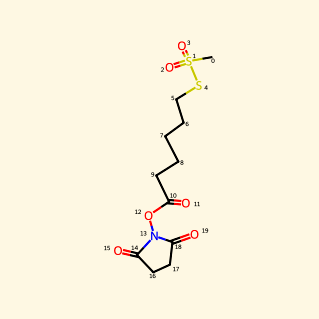 CS(=O)(=O)SCCCCCC(=O)ON1C(=O)CCC1=O